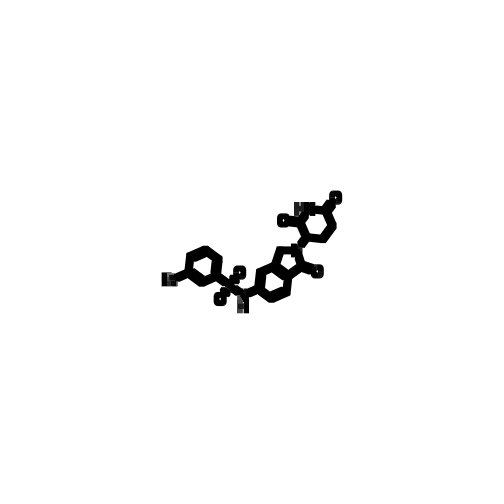 CCc1cccc(S(=O)(=O)Nc2ccc3c(c2)CN(C2CCC(=O)NC2=O)C3=O)c1